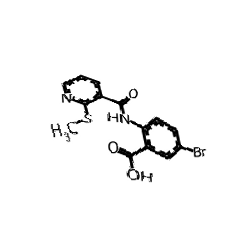 CSc1ncccc1C(=O)Nc1ccc(Br)cc1C(=O)O